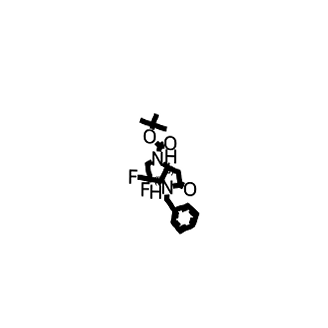 CC(C)(C)OC(=O)N1CC(F)(F)[C@H]2[C@@H]1CC(=O)N2Cc1ccccc1